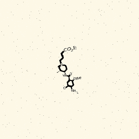 CCOC(=O)CCCN1CC[C@@H](NC(=O)c2cc(Cl)c(N)cc2OC)[C@H](C)C1